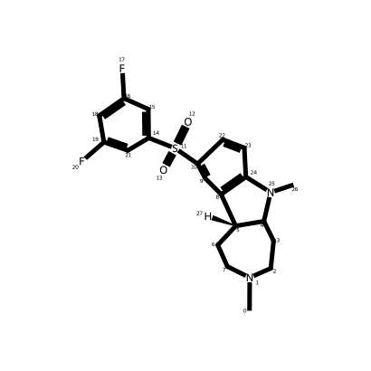 CN1CCC2[C@H](CC1)c1cc(S(=O)(=O)c3cc(F)cc(F)c3)ccc1N2C